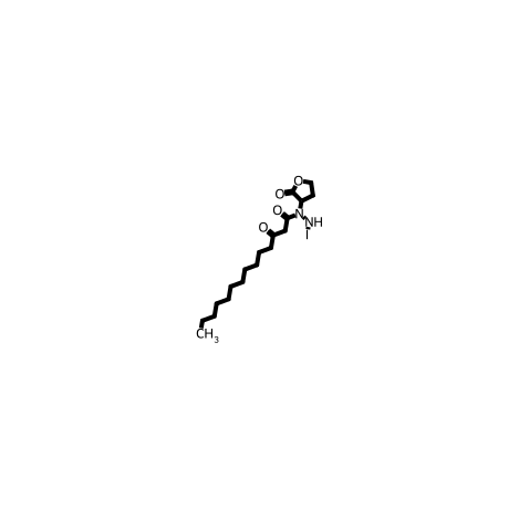 CCCCCCCCCCCC(=O)CC(=O)N(NI)C1CCOC1=O